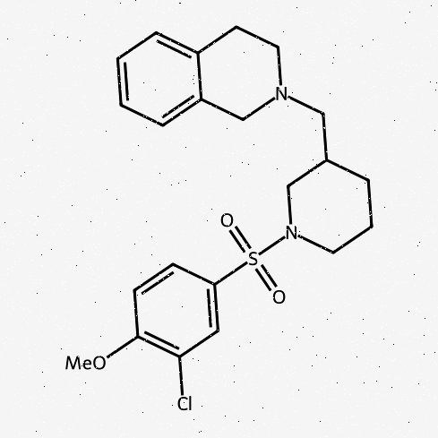 COc1ccc(S(=O)(=O)N2CCCC(CN3CCc4ccccc4C3)C2)cc1Cl